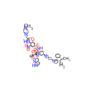 CC(C)c1ccccc1[C@@H]1CCCN1C1CC2(C1)CN(c1ccc(C(=O)NS(=O)(=O)c3cc4c(c([N+](=O)[O-])c3)N[C@@H](CN3CCN(C)CC3)CO4)c(N3c4cc5cc[nH]c5nc4O[C@H]4COC[C@@H]43)c1)C2